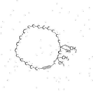 C=CC1(S)CCCCCCCCCCCCCCCCCC#CCC(C)(C)C1